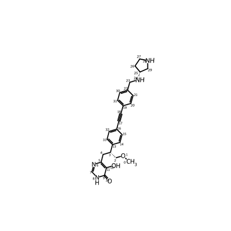 COC[C@H](Cc1nc[nH]c(=O)c1O)c1ccc(C#Cc2ccc(CN[C@@H]3CCNC3)cc2)cc1